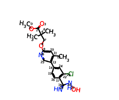 COC(=O)C(C)(C)COc1cc(C)c(-c2ccc(C(=N)NO)c(Cl)c2)cn1